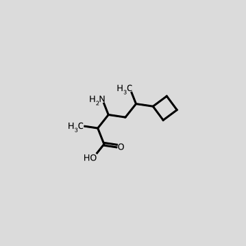 CC(CC(N)C(C)C(=O)O)C1CCC1